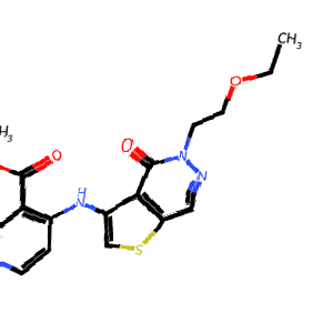 CCOCCn1ncc2scc(Nc3ccncc3C(=O)OC)c2c1=O